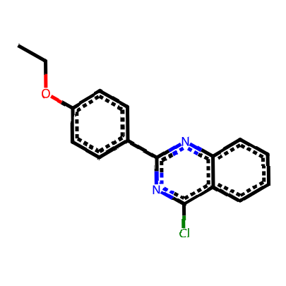 CCOc1ccc(-c2nc(Cl)c3ccccc3n2)cc1